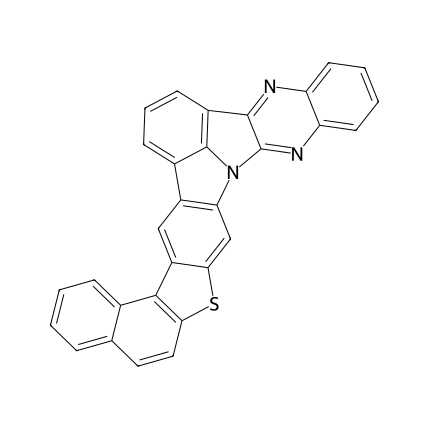 c1ccc2c(c1)ccc1sc3cc4c(cc3c12)c1cccc2c3nc5ccccc5nc3n4c12